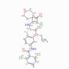 CCOC(=O)[C@H](Cc1ccc(NC(=O)c2c(Cl)cncc2Cl)cc1)NC1=C(Cl)C(=O)C12CCOCC2